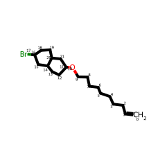 C=CCCCCCCCCOC1CCC2CC(Br)CCC2C1